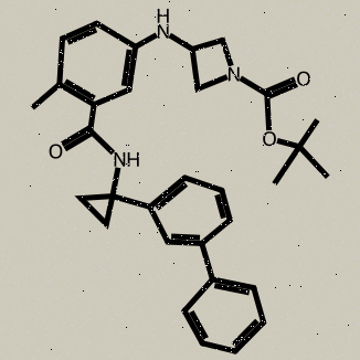 Cc1ccc(NC2CN(C(=O)OC(C)(C)C)C2)cc1C(=O)NC1(c2cccc(-c3ccccc3)c2)CC1